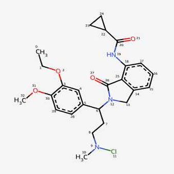 CCOc1cc(C(CCN(C)Cl)N2Cc3cccc(NC(=O)C4CC4)c3C2=O)ccc1OC